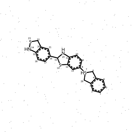 c1ccc2c(c1)C[SH](c1ccc3c(c1)SC(c1ccc4c(c1)CSN4)N3)C2